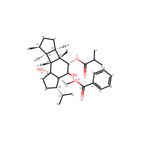 CC(C)C(=O)O[C@@H]1[C@@H](O)[C@@]2(COC(=O)c3ccccc3)[C@H](C(C)C)CC[C@@]2(O)[C@@H]2[C@@H]3[C@@H](CC[C@@H]3C)[C@]12C